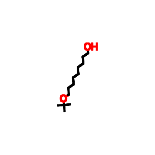 CC(C)(C)OCCCCCCCCCO